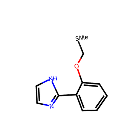 CSCOc1ccccc1-c1ncc[nH]1